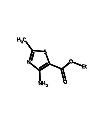 CCOC(=O)c1sc(C)nc1N